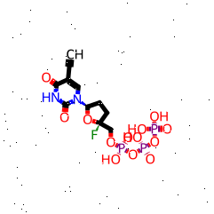 C#Cc1cn([C@H]2CC[C@@](F)(COP(=O)(O)OP(=O)(O)OP(=O)(O)O)O2)c(=O)[nH]c1=O